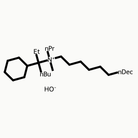 CCCCCCCCCCCCCCCC[N+](C)(CCC)C(CC)(CCCC)C1CCCCC1.[OH-]